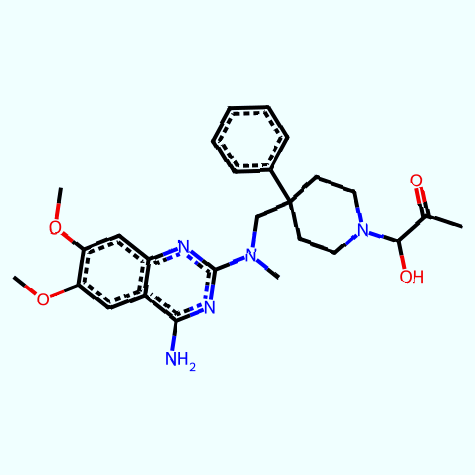 COc1cc2nc(N(C)CC3(c4ccccc4)CCN(C(O)C(C)=O)CC3)nc(N)c2cc1OC